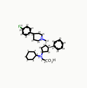 O=C(O)CN(C1CCCCC1)C1C[C@H](CN2CCC(c3ccc(F)cc3)CC2)[C@@H](c2ccccc2)C1